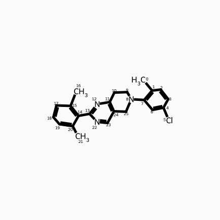 Cc1ccc(Cl)cc1N1CCc2nc(-c3c(C)cccc3C)ncc2C1